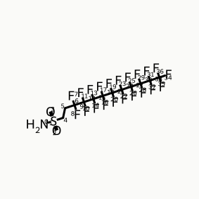 NS(=O)(=O)CCC(F)(F)C(F)(F)C(F)(F)C(F)(F)C(F)(F)C(F)(F)C(F)(F)C(F)(F)C(F)(F)C(F)(F)F